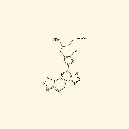 CCCCCCCCCCCCC(CCCCCCCCCC)Cc1cc(-c2cc3c(ccc4nsnc43)c3nsnc23)sc1Br